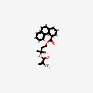 C=C(C(=O)OC(C)(CC)CCOC(=O)c1cccc2ccc3ccccc3c12)C(F)(F)F